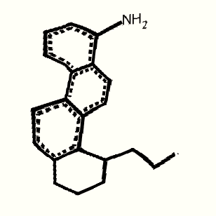 [CH2]CCC1CCCc2ccc3c(ccc4c(N)cccc43)c21